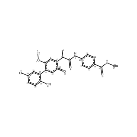 CCOc1cn(C(C)C(=O)Nc2ccc(C(=O)OC(C)(C)C)cc2)c(=O)cc1-c1cc(Cl)ccc1C#N